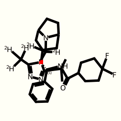 [2H]C([2H])([2H])c1nnc(C(C)C)n1C1CC2CCC(C1)N2C([2H])([2H])C[C@H](NC(=O)C1CCC(F)(F)CC1)c1ccccc1